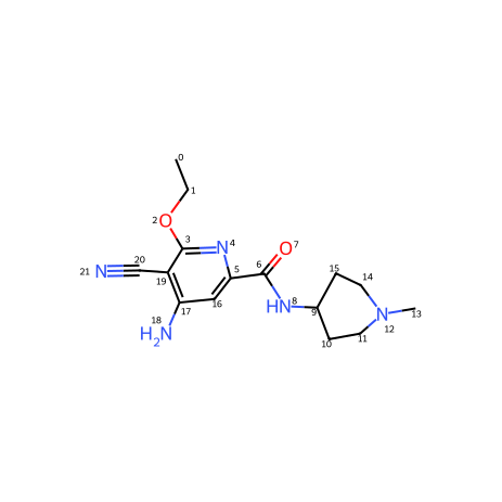 CCOc1nc(C(=O)NC2CCN(C)CC2)cc(N)c1C#N